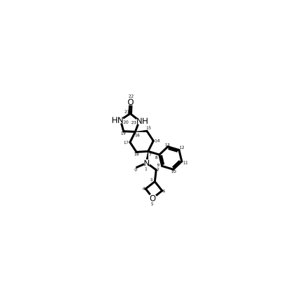 CN(CC1COC1)[C@]1(c2ccccc2)CC[C@@]2(CC1)CNC(=O)N2